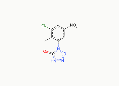 Cc1c(Cl)cc([N+](=O)[O-])cc1-n1nn[nH]c1=O